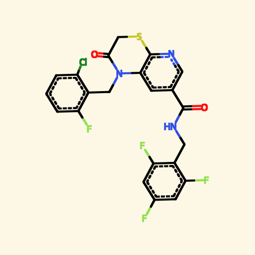 O=C(NCc1c(F)cc(F)cc1F)c1cnc2c(c1)N(Cc1c(F)cccc1Cl)C(=O)CS2